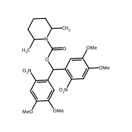 COc1cc(C(OC(=O)N2C(C)CCCC2C)c2cc(OC)c(OC)cc2[N+](=O)[O-])c([N+](=O)[O-])cc1OC